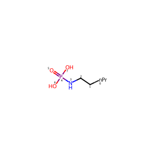 [CH2]CCCCNP(=O)(O)O